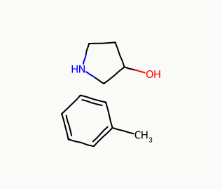 Cc1ccccc1.OC1CCNC1